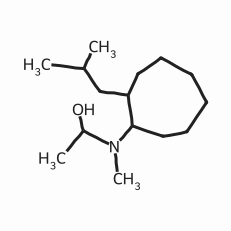 CC(C)CC1CCCCCCC1N(C)C(C)O